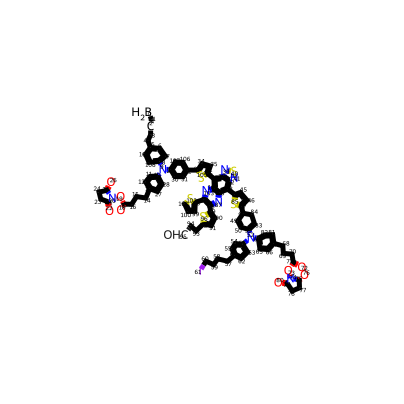 BCCCCc1ccc(N(c2ccc(CCCC(=O)ON3C(=O)CCC3=O)cc2)c2ccc(-c3ccc(-c4c5nsnc5c(-c5ccc(C6C=CC(N(c7ccc(CCCCI)cc7)c7ccc(CCCC(=O)ON8C(=O)CCC8=O)cc7)=CC6)s5)c5nc(-c6ccc(CCC=O)s6)c(-c6cccs6)nc45)s3)cc2)cc1